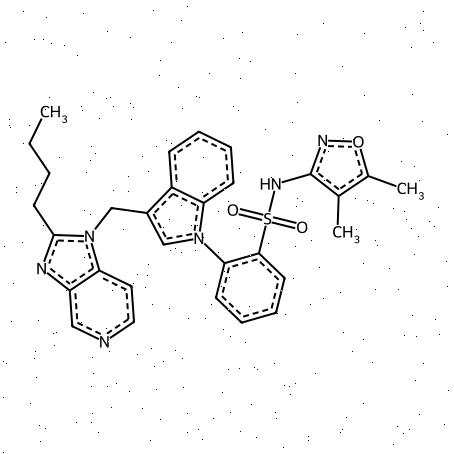 CCCCc1nc2cnccc2n1Cc1cn(-c2ccccc2S(=O)(=O)Nc2noc(C)c2C)c2ccccc12